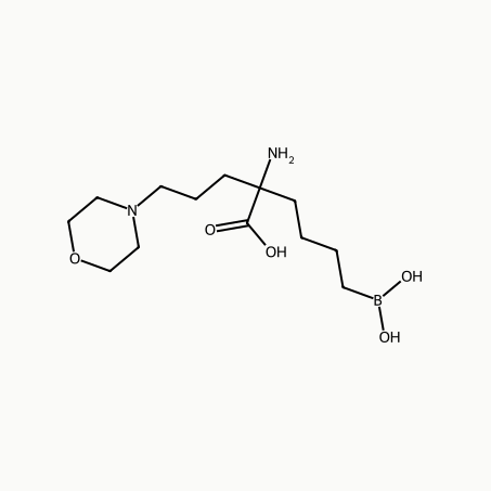 NC(CCCCB(O)O)(CCCN1CCOCC1)C(=O)O